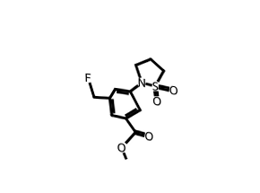 COC(=O)c1cc(CF)cc(N2CCCS2(=O)=O)c1